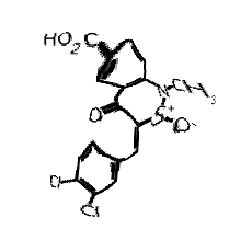 CN1c2ccc(C(=O)O)cc2C(=O)/C(=C\c2ccc(Cl)c(Cl)c2)[S+]1[O-]